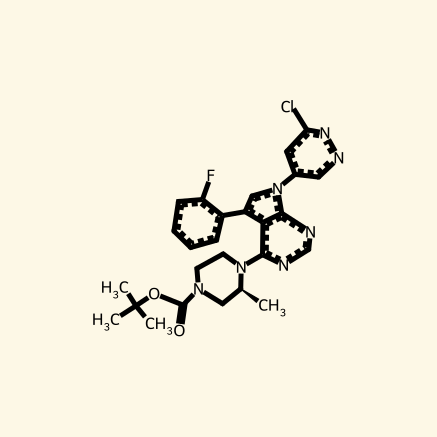 C[C@H]1CN(C(=O)OC(C)(C)C)CCN1c1ncnc2c1c(-c1ccccc1F)cn2-c1cnnc(Cl)c1